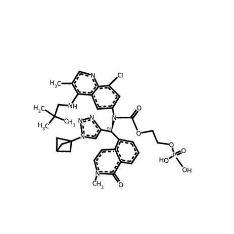 Cc1cnc2c(Cl)cc(N(C(=O)OCCOP(=O)(O)O)[C@H](c3cn(C45CC(C4)C5)nn3)c3cccc4c(=O)n(C)ccc34)cc2c1NCC(C)(C)C